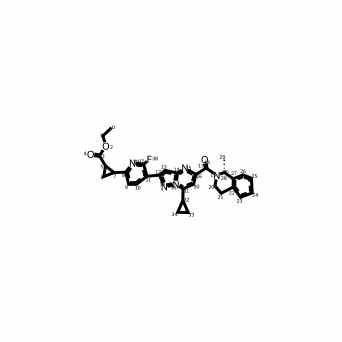 CCOC(=O)C1CC1c1ccc(-c2cc3nc(C(=O)N4CCc5ccccc5[C@H]4C)cc(C4CC4)n3n2)c(F)n1